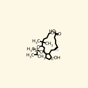 CCCCC(C)(C)C(CCC1CC[C@@H](O)C1C/C=C\CCCC(=O)O)O[Si](C)(C)C(C)C